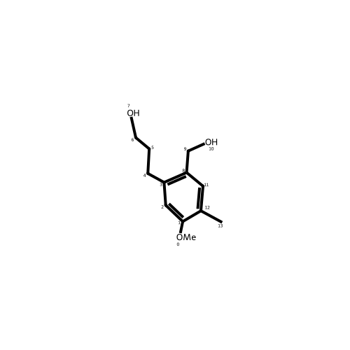 COc1cc(CCCO)c(CO)cc1C